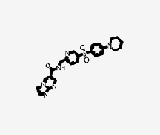 O=C(NCc1ccc(S(=O)(=O)c2ccc(N3CCCCC3)cc2)cn1)c1cnc2nccn2c1